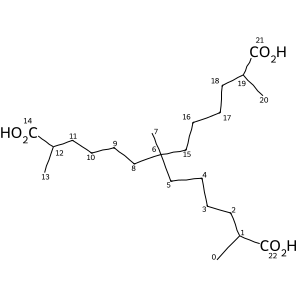 CC(CCCCC(C)(CCCCC(C)C(=O)O)CCCCC(C)C(=O)O)C(=O)O